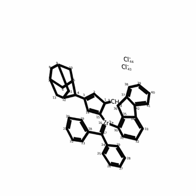 CC1C=C(C2C3CC4CC(C3)CC2C4)C=[C]1[Zr+2](=[C](c1ccccc1)c1ccccc1)[c]1cccc2c1Cc1ccccc1-2.[Cl-].[Cl-]